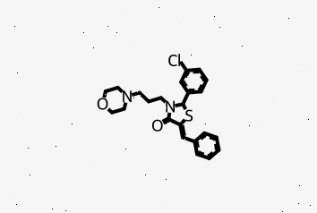 O=C1C(=Cc2ccccc2)SC(c2cccc(Cl)c2)N1CCCN1CCOCC1